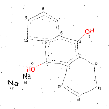 Oc1c2c(c(O)c3ccccc13)CCC=C2.[Na].[Na]